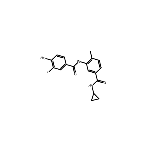 Cc1ccc(C(=O)NC2CC2)cc1NC(=O)c1ccc(O)c(F)c1